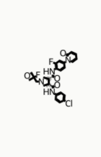 O=C(Nc1ccc(Cl)cc1)[C@H]1CN(CC2(F)COC2)C[C@@H]1C(=O)Nc1ccc(-n2ccccc2=O)cc1F